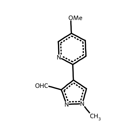 COc1ccc(-c2cn(C)nc2C=O)nc1